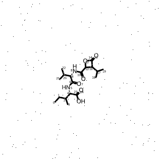 CCC(C)[C@H](NC(=O)[C@@H](NC(=O)C1OC(=O)C1C(C)C)C(C)C)C(=O)O